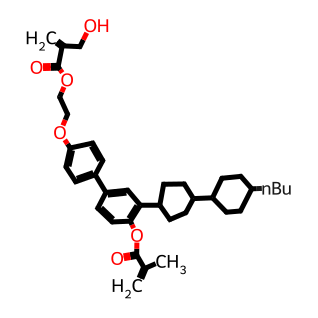 C=C(C)C(=O)Oc1ccc(-c2ccc(OCCOC(=O)C(=C)CO)cc2)cc1C1CCC(C2CCC(CCCC)CC2)CC1